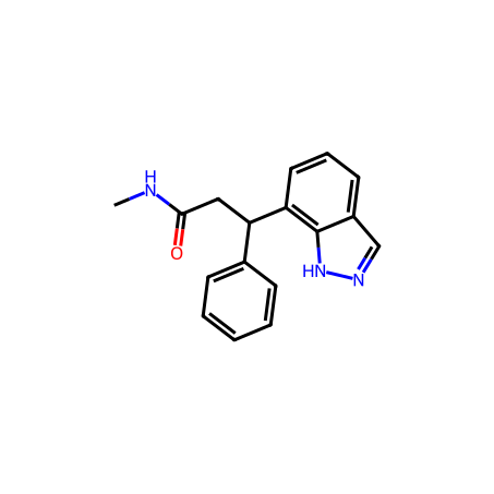 CNC(=O)CC(c1ccccc1)c1cccc2cn[nH]c12